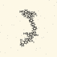 Cc1ncsc1-c1ccc([C@H](C)NC(=O)[C@@H]2C[C@@H](O)CN2C(=O)C(NC(=O)Cc2ccnc(N3CCN(c4ccc(C(=O)NC5C(C)(C)C(Oc6ccc(C#N)c(Cl)c6)C5(C)C)cn4)CC3)c2)C(C)(C)C)cc1